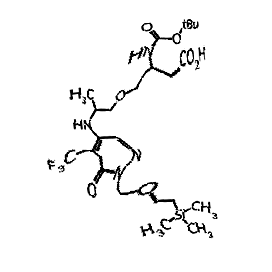 CC(COCC(CC(=O)O)NC(=O)OC(C)(C)C)Nc1cnn(COCC[Si](C)(C)C)c(=O)c1C(F)(F)F